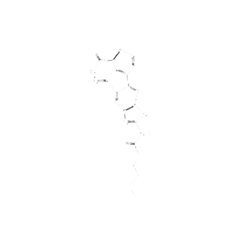 COCCOC(=O)Nc1nc2cc3c(cc2[nH]1)-c1cccc2c(=O)[nH]nc-3c12